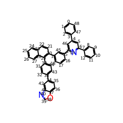 c1ccc(-c2cc(-c3ccccc3)nc(-c3cccc(-c4ccc5ccccc5c4-c4ccc(-c5ccc6ocnc6c5)cc4)c3)c2)cc1